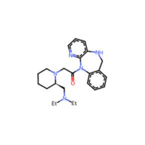 CCN(CC)C[C@H]1CCCCN1CC(=O)N1c2ccccc2CNc2cccnc21